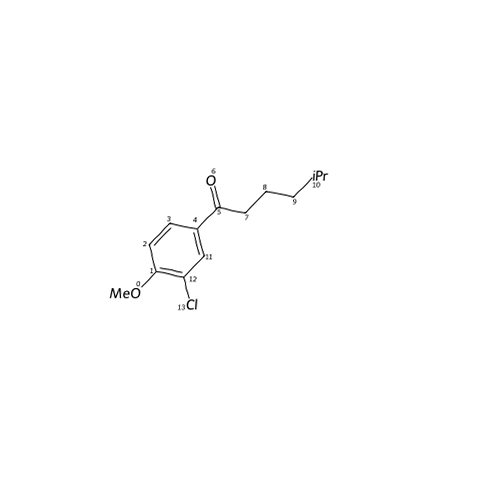 COc1ccc(C(=O)CCCC(C)C)cc1Cl